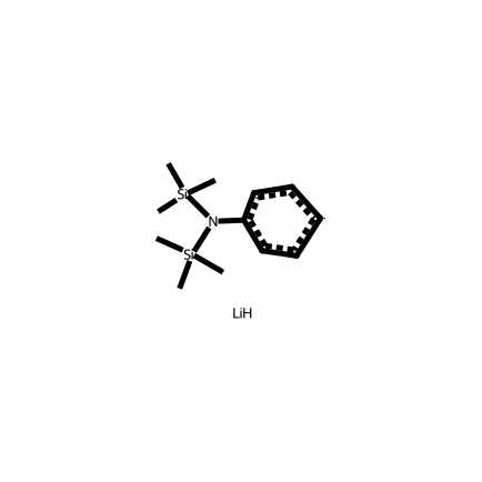 C[Si](C)(C)N(c1cc[c]cc1)[Si](C)(C)C.[LiH]